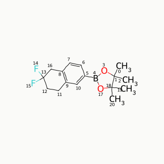 CC1(C)OB(c2ccc3c(c2)CCC(F)(F)C3)OC1(C)C